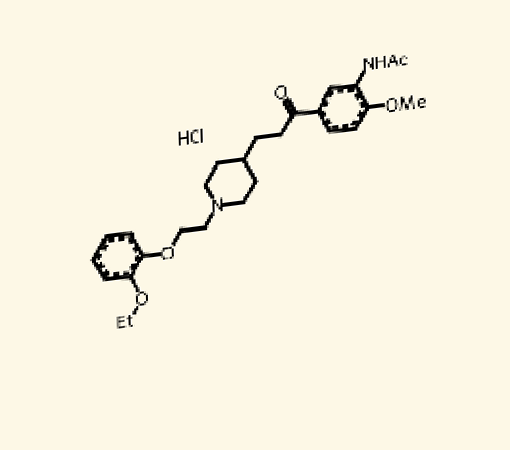 CCOc1ccccc1OCCN1CCC(CCC(=O)c2ccc(OC)c(NC(C)=O)c2)CC1.Cl